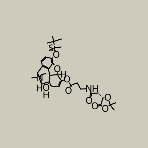 CN1CC[C@]23c4c5ccc(O[Si](C)(C)C(C)(C)C)c4O[C@H]2C(OC(=O)CCNC(=O)C[C@@H]2OC(C)(C)OC2=O)=CC[C@@]3(O)[C@H]1C5